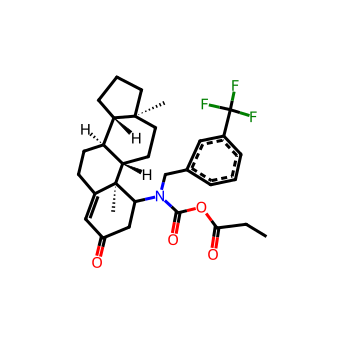 CCC(=O)OC(=O)N(Cc1cccc(C(F)(F)F)c1)C1CC(=O)C=C2CC[C@H]3[C@@H]4CCC[C@@]4(C)CC[C@@H]3[C@]21C